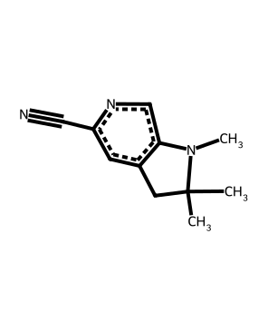 CN1c2cnc(C#N)cc2CC1(C)C